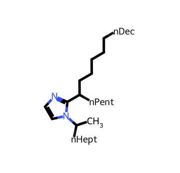 CCCCCCCCCCCCCCCC(CCCCC)c1nccn1C(C)CCCCCCC